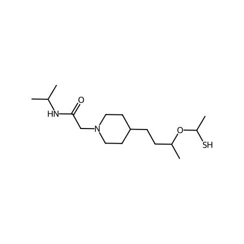 CC(C)NC(=O)CN1CCC(CCC(C)OC(C)S)CC1